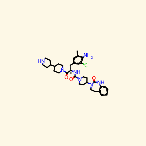 Cc1cc(C[C@@H](NC(=O)N2CCC(N3CCc4ccccc4NC3=O)CC2)C(=O)N2CCC(C3CCNCC3)CC2)cc(Cl)c1N